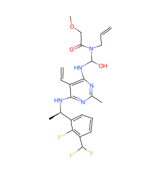 C=CCN(C(=O)COC)C(O)Nc1nc(C)nc(N[C@H](C)c2cccc(C(F)F)c2F)c1C=C